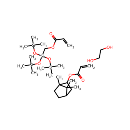 C=CC(=O)OC1CC2CCC1(C)C2(C)C.C=CC(=O)OC[Si](O[Si](C)(C)C)(O[Si](C)(C)C)O[Si](C)(C)C.OCCO